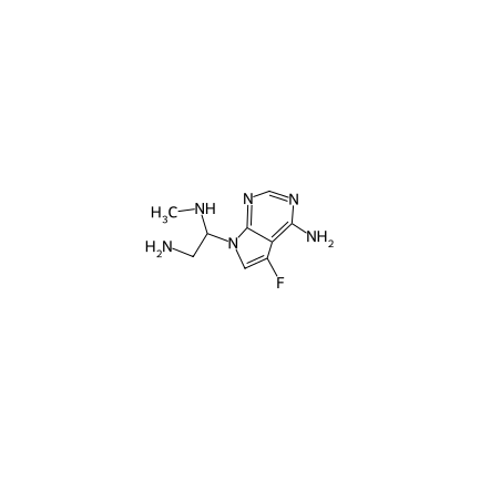 CNC(CN)n1cc(F)c2c(N)ncnc21